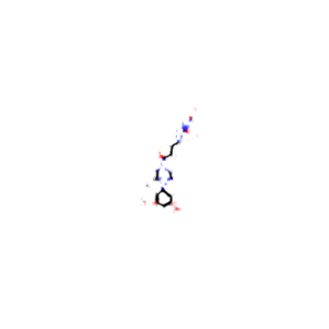 COc1cc(OC)cc(N2CCN(C(=O)CCCNC(=O)NC=O)C[C@@H]2C)c1